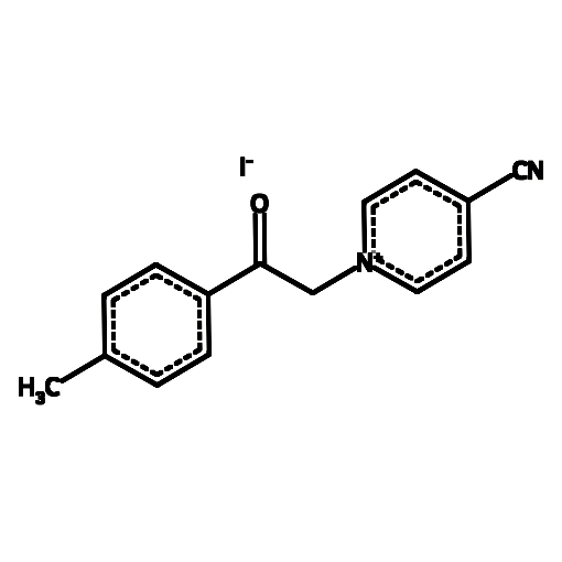 Cc1ccc(C(=O)C[n+]2ccc(C#N)cc2)cc1.[I-]